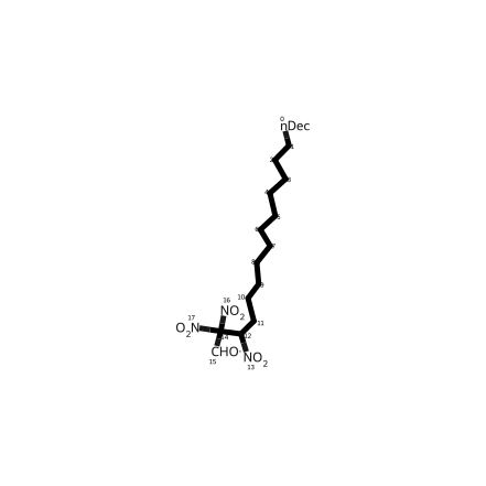 CCCCCCCCCCCCCCCCCCCCCC([N+](=O)[O-])C([C]=O)([N+](=O)[O-])[N+](=O)[O-]